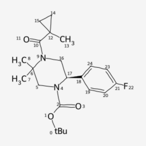 CC(C)(C)OC(=O)N1CC(C)(C)N(C(=O)C2(C)CC2)C[C@H]1c1ccc(F)cc1